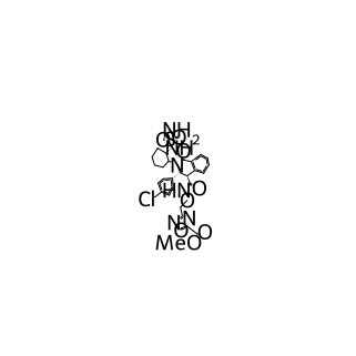 COC(=O)c1nc(CONC(=O)[C@@H]2c3ccccc3C(=O)N([C@H]3CCCC[C@@H]3NS(N)(=O)=O)[C@H]2c2ccc(Cl)cc2)no1